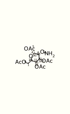 CC(=O)OC[C@H]1O[C@H](OC(C)=O)[C@H](ON)[C@@H](OC(C)=O)[C@@H]1OC(C)=O